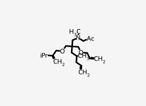 C=CCOCC(COCC(=C)C(C)C)(CC(C)CC=C)CN(C)CC(C)=O